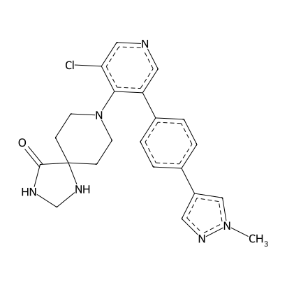 Cn1cc(-c2ccc(-c3cncc(Cl)c3N3CCC4(CC3)NCNC4=O)cc2)cn1